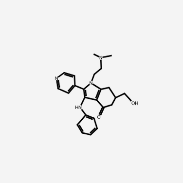 CN(C)CCn1c2c(c(Nc3ccccc3)c1-c1ccncc1)C(=O)CC(CO)C2